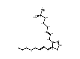 CCCCC/C=C/C=C1/CC=C[C@@H]1C/C=C/CCCC(=O)O